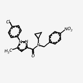 Cc1cc(C(=O)N(Cc2ccc([N+](=O)[O-])cc2)C2CC2)nn1-c1ccc(Cl)cc1